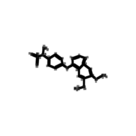 COc1cc2ncnc(Oc3ccc(N(N)[SH](=O)=O)cc3)c2cc1OC